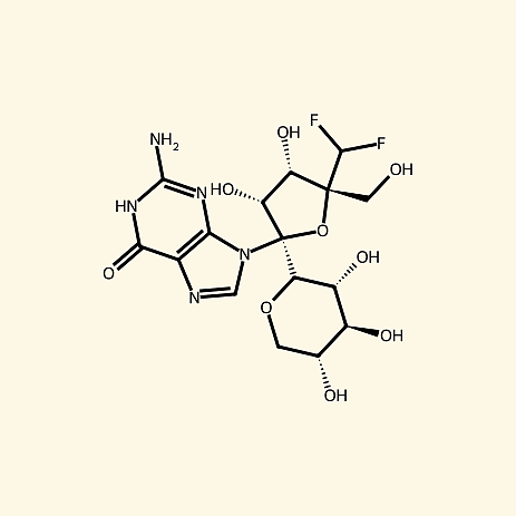 Nc1nc2c(ncn2[C@]2(C3OC[C@@H](O)[C@H](O)[C@H]3O)O[C@@](CO)(C(F)F)[C@@H](O)[C@H]2O)c(=O)[nH]1